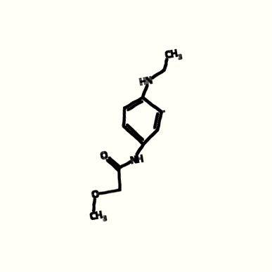 CCNc1[c]cc(NC(=O)COC)cc1